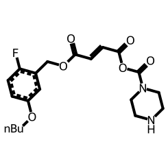 CCCCOc1ccc(F)c(COC(=O)/C=C/C(=O)OC(=O)N2CCNCC2)c1